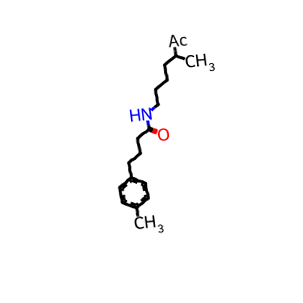 CC(=O)C(C)CCCCNC(=O)CCCc1ccc(C)cc1